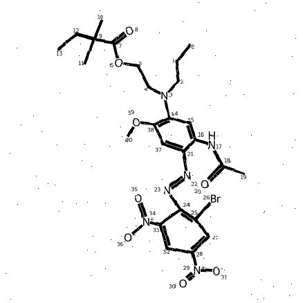 CCCN(CCOC(=O)C(C)(C)CC)c1cc(NC(C)=O)c(/N=N/c2c(Br)cc([N+](=O)[O-])cc2[N+](=O)[O-])cc1OC